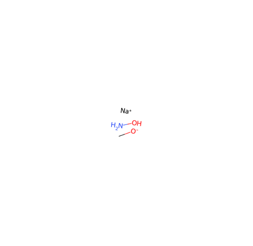 C[O-].NO.[Na+]